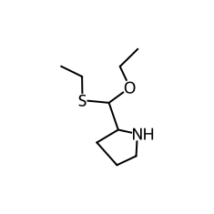 CCOC(SCC)C1CCCN1